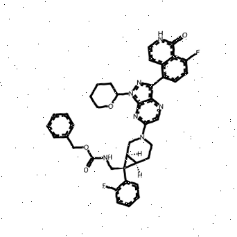 O=C(NC[C@]1(c2ccccc2F)[C@@H]2CCN(c3cnc4c(-c5ccc(F)c6c(=O)[nH]ccc56)nn(C5CCCCO5)c4n3)C[C@@H]21)OCc1ccccc1